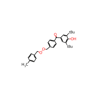 Cc1ccc(COOCc2ccc(C(=O)c3cc(C(C)(C)C)c(O)c(C(C)(C)C)c3)cc2)cc1